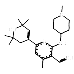 Cc1cc(C2=CC(C)(C)NC(C)(C)C2)nc(NC2CCN(C)CC2)c1C=N